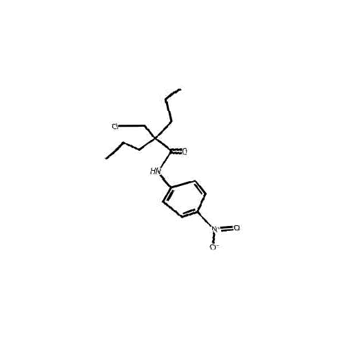 CCCC(CCl)(CCC)C(=O)Nc1ccc([N+](=O)[O-])cc1